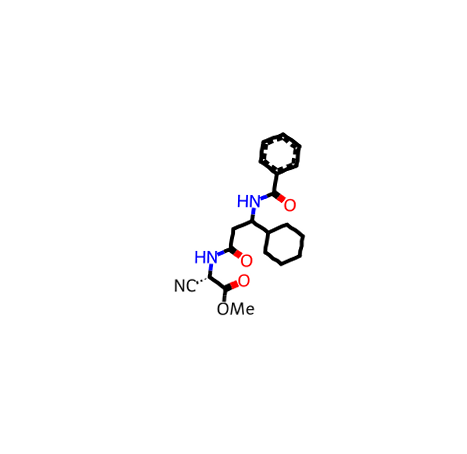 COC(=O)[C@H](C#N)NC(=O)CC(NC(=O)c1ccccc1)C1CCCCC1